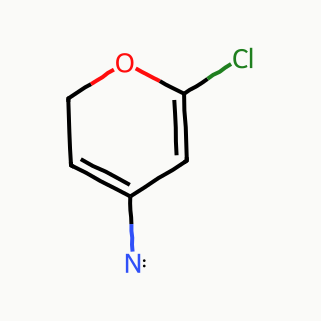 [N]C1=CCOC(Cl)=C1